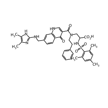 Cc1cc(C)c(S(=O)(=O)NC(CN(CCc2ccccc2)C(=O)c2c[nH]c3cc(CNc4nc(C)c(C)[nH]4)ccc3c2=O)C(=O)O)c(C)c1